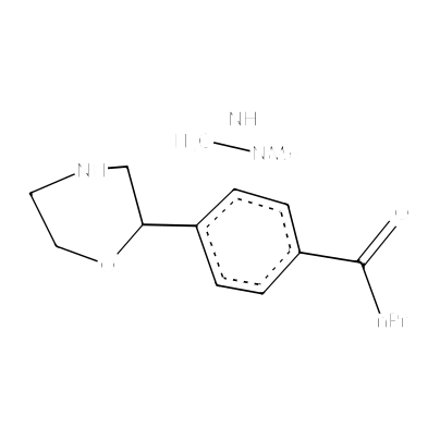 CCCC(=O)c1ccc(C2CNCCO2)cc1.CNC.N